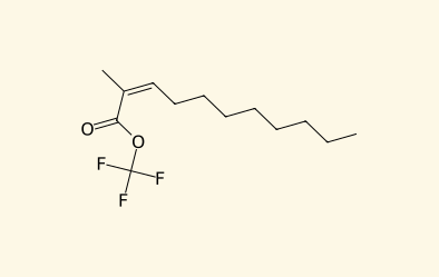 CCCCCCCCC=C(C)C(=O)OC(F)(F)F